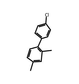 Cc1ccc(-c2ccc(Cl)cc2)c(C)c1